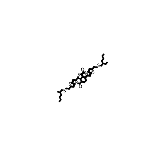 CCCCC(C)CSCCc1cc2c(cc3n2C(=O)C2=CC=c4c5c(c(=O)n6c4cc4sc(CCSCC(CC)CCCC)cc46)SC3C25)s1